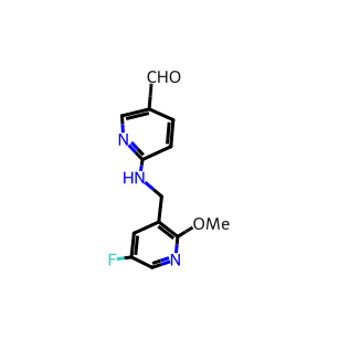 COc1ncc(F)cc1CNc1ccc(C=O)cn1